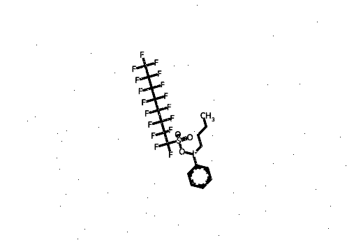 CCCC[I+](OS(=O)(=O)C(F)(F)C(F)(F)C(F)(F)C(F)(F)C(F)(F)C(F)(F)C(F)(F)C(F)(F)F)c1ccccc1